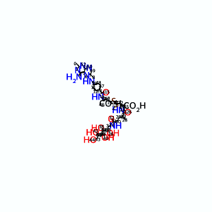 Cc1nc(N)c2nc(CNc3ccc(C(=O)N[C@@H](CCSSC[C@H](NC(=O)[C@@H](C)CCC(=O)NC[C@H](O)[C@@H](O)[C@H](O)[C@H](O)CO)C(=O)O)C(=O)O)cc3)cnc2n1